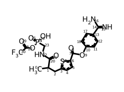 CC(Cc1ccc(C(=O)Oc2ccc(C(=N)N)cc2)s1)C(=O)NCP(=O)(O)OC(=O)C(F)(F)F